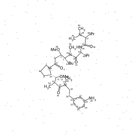 CCC(C)C(C(CC(=O)N1CCC[C@H]1C(OC)C(C)C(=O)N(C)CCc1cccc(N)c1)OC)N(C)C(=O)C(NC(=O)C(C(C)C)N(C)C)C(C)C